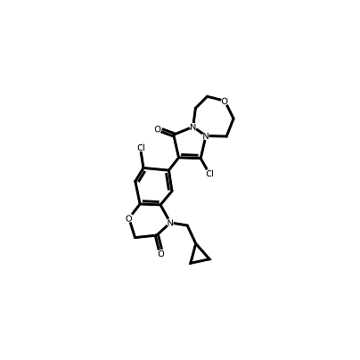 O=C1COc2cc(Cl)c(-c3c(Cl)n4n(c3=O)CCOCC4)cc2N1CC1CC1